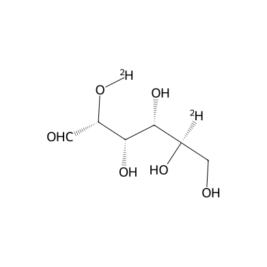 [2H]O[C@@H](C=O)[C@@H](O)[C@H](O)[C@]([2H])(O)CO